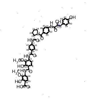 COc1c(NC(=O)c2ccc(NC(=O)c3ccc(NC(=O)[C@@H]4CCCN4C(=O)c4ccc(NC(=O)/C(C)=C/c5ccc(O)cc5)cc4)cc3)c(OC)c2O)ccc(C(=O)O)c1O